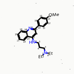 CCN(CC)CCCNc1cc(-c2ccc(OC)cc2)nc2ccccc12